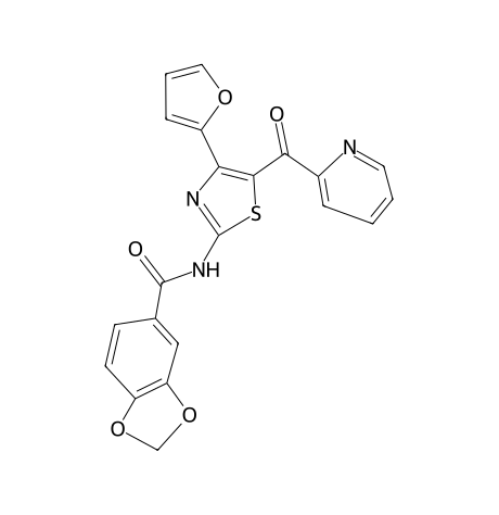 O=C(Nc1nc(-c2ccco2)c(C(=O)c2ccccn2)s1)c1ccc2c(c1)OCO2